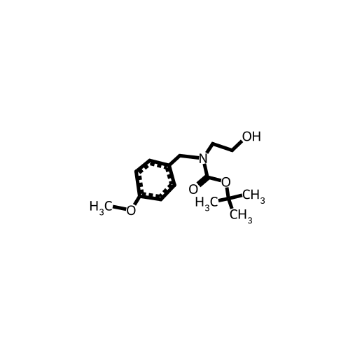 COc1ccc(CN(CCO)C(=O)OC(C)(C)C)cc1